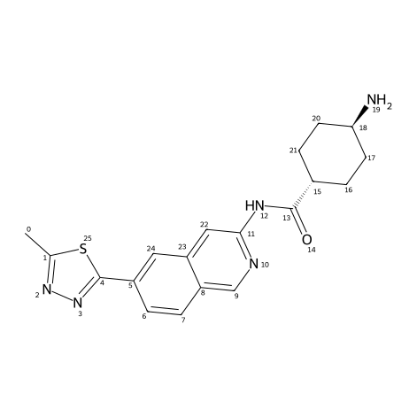 Cc1nnc(-c2ccc3cnc(NC(=O)[C@H]4CC[C@H](N)CC4)cc3c2)s1